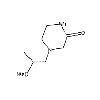 COC(C)CN1CCNC(=O)C1